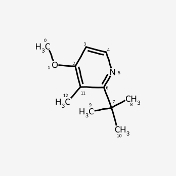 COc1ccnc(C(C)(C)C)c1C